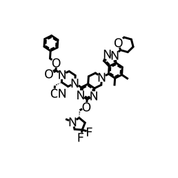 Cc1cc2c(cnn2C2CCCCO2)c(N2CCc3c(nc(OC[C@@H]4CC(F)(F)CN4C)nc3N3CCN(C(=O)OCc4ccccc4)[C@@H](CC#N)C3)C2)c1C